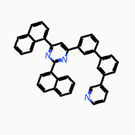 c1cncc(-c2cccc(-c3cccc(-c4cc(-c5cccc6ccccc56)nc(-c5cccc6ccccc56)n4)c3)c2)c1